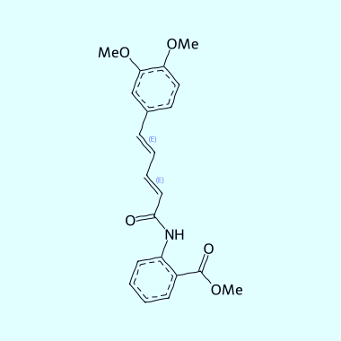 COC(=O)c1ccccc1NC(=O)/C=C/C=C/c1ccc(OC)c(OC)c1